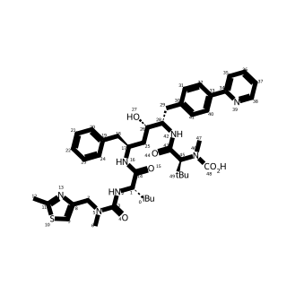 CCC(C)[C@H](NC(=O)N(C)Cc1csc(C)n1)C(=O)N[C@@H](Cc1ccccc1)C[C@H](O)[C@H](Cc1ccc(-c2ccccn2)cc1)NC(=O)[C@@H](N(C)C(=O)O)C(C)(C)C